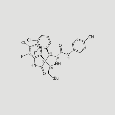 CC(C)(C)C[C@@H]1N[C@@H](C(=O)Nc2ccc(C#N)cc2)[C@H](c2cccc(Cl)c2F)[C@@]12C(=O)Nc1c2ccc(Cl)c1F